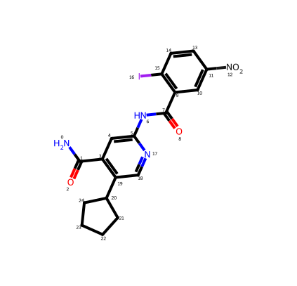 NC(=O)c1cc(NC(=O)c2cc([N+](=O)[O-])ccc2I)ncc1C1CCCC1